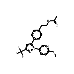 COc1ccc(-n2nc(C(F)(F)F)cc2-c2ccc(CCNC(C)=O)cc2)cn1